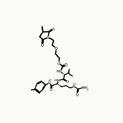 Cc1ccc(NC(=O)[C@H](CCCNC(N)=O)NC(=O)[C@@H](NC(=O)OCCOCCN2C(=O)CC(C)C2=O)C(C)C)cc1